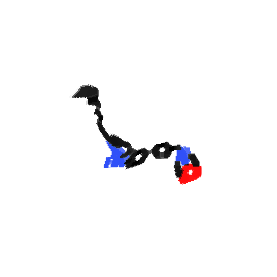 CCCCCC=Cc1ccc2c(n1)[nH]c1ccc(-c3ccc(CN4CCOCC4)cc3)cc12